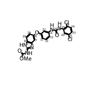 COC(=O)Nc1nc2cc(Oc3cccc(NC(=O)Nc4cc(Cl)ccc4Cl)c3)ccc2[nH]1